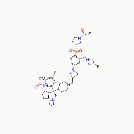 C=CC(=O)N1CC[C@@H](S(=O)(=O)c2ccc(N3CC(CN4CCC([C@@](CN5CCC5)(c5cccc(F)c5)[C@H]5CCC[C@@H]5NC(=O)OC)CC4)C3)cc2CN2CC(F)C2)C1